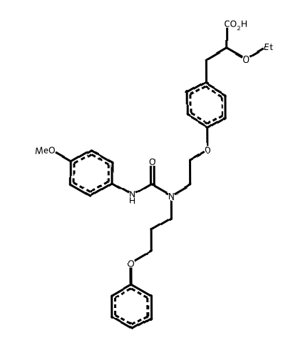 CCOC(Cc1ccc(OCCN(CCCOc2ccccc2)C(=O)Nc2ccc(OC)cc2)cc1)C(=O)O